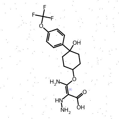 NN/C(C(=O)O)=C(\N)OC1CCC(O)(c2ccc(OC(F)(F)F)cc2)CC1